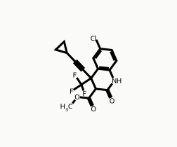 COC(=O)C1C(=O)Nc2ccc(Cl)cc2C1(C#CC1CC1)C(F)(F)F